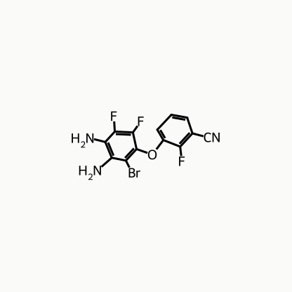 N#Cc1cccc(Oc2c(F)c(F)c(N)c(N)c2Br)c1F